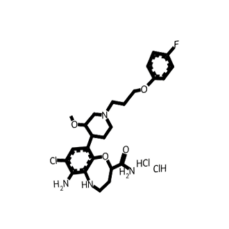 COC1CN(CCCOc2ccc(F)cc2)CCC1c1cc(Cl)c(N)c2c1OC(C(N)=O)CCN2.Cl.Cl